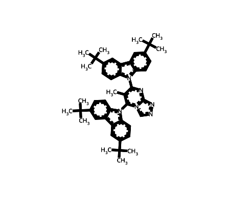 Cc1c(-n2c3ccc(C(C)(C)C)cc3c3cc(C(C)(C)C)ccc32)nc2nncn2c1-n1c2ccc(C(C)(C)C)cc2c2cc(C(C)(C)C)ccc21